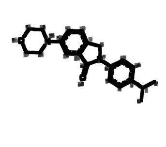 CC(C)c1ccc(N2Cc3ccc(N4CCOCC4)cc3C2=O)cc1